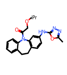 Cc1nnc(Nc2ccc3c(c2)N(C(=O)COC(C)C)c2ccccc2CC3)o1